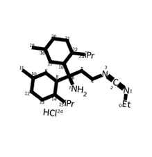 CCN=C=NCCC(N)(C1CC(C)CCC1C(C)C)C1CC(C)CCC1C(C)C.Cl